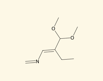 C=N/C=C(\CC)C(OC)OC